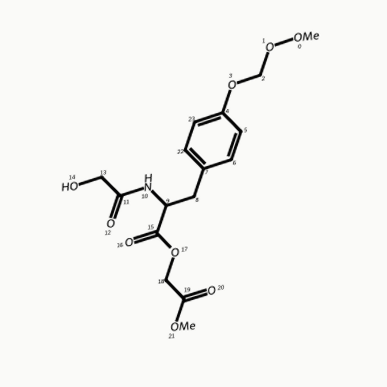 COOCOc1ccc(CC(NC(=O)CO)C(=O)OCC(=O)OC)cc1